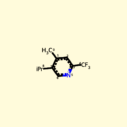 Cc1cc(C(F)(F)F)ncc1C(C)C